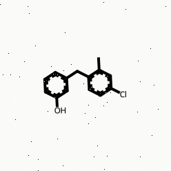 Cc1cc(Cl)ccc1Cc1cccc(O)c1